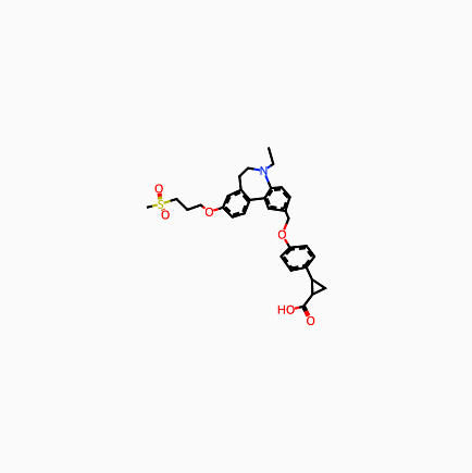 CCN1CCc2cc(OCCCS(C)(=O)=O)ccc2-c2cc(COc3ccc(C4CC4C(=O)O)cc3)ccc21